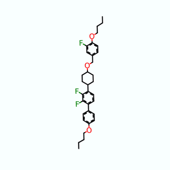 CCCCOc1ccc(-c2ccc(C3CCC(OCc4ccc(OCCCC)c(F)c4)CC3)c(F)c2F)cc1